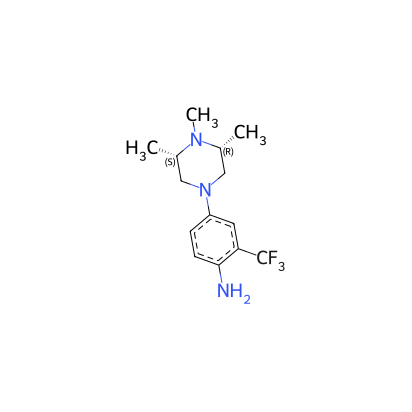 C[C@@H]1CN(c2ccc(N)c(C(F)(F)F)c2)C[C@H](C)N1C